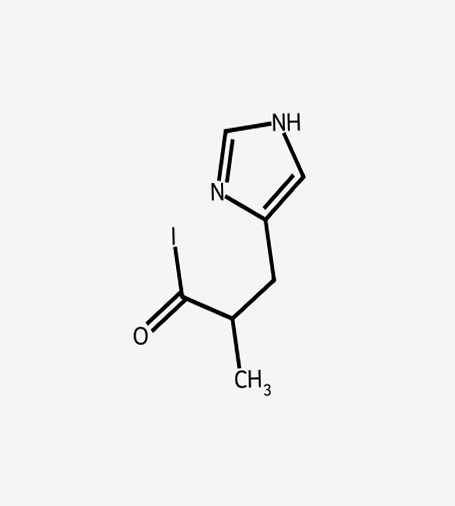 CC(Cc1c[nH]cn1)C(=O)I